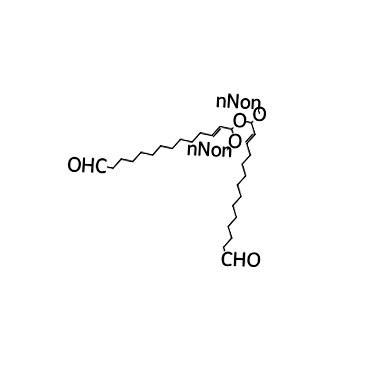 CCCCCCCCCOC(C=CCCCCCCCCCCC=O)OC(C=CCCCCCCCCCCC=O)OCCCCCCCCC